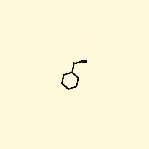 CC(C)(C)[I]C1CCCCC1